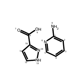 Nc1ccccn1.O=C(O)c1cc[nH]n1